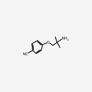 CC(C)(N)COc1ccc(C#N)cc1